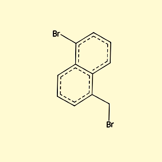 BrCc1cccc2c(Br)cccc12